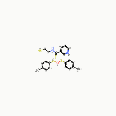 CC(C)(C)c1ccc(SOSc2ccc(C(C)(C)C)cc2)cc1.S=C(NCCS)c1cccnc1